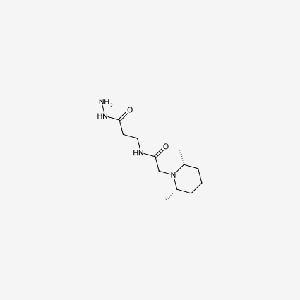 C[C@@H]1CCC[C@H](C)N1CC(=O)NCCC(=O)NN